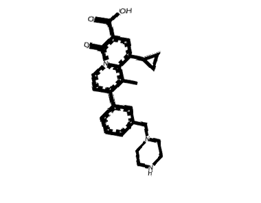 Cc1c(-c2cccc(CN3CCNCC3)c2)ccn2c(=O)c(C(=O)O)cc(C3CC3)c12